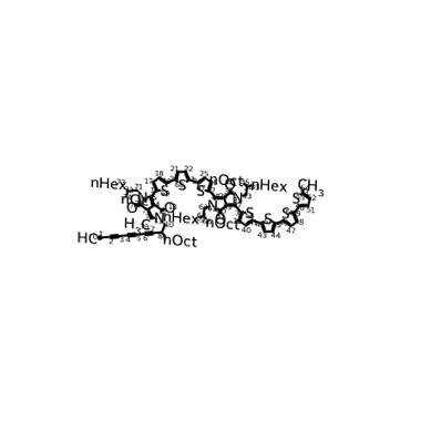 C#CC#CC#CC#CC(CCCCCCCC)CN1C(=O)C2=C(c3ccc(-c4ccc(-c5ccc(C6=C7C(=O)N(CC(CCCCCC)CCCCCCCC)C(c8ccc(-c9ccc(-c%10ccc(-c%11ccc(C)s%11)s%10)s9)s8)=C7C(=O)N6CC(CCCCCC)CCCCCCCC)s5)s4)s3)N(CC(CCCCCC)CCCCCCCC)C(=O)C2=C1C